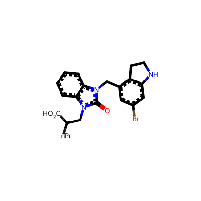 CCCC(Cn1c(=O)n(Cc2cc(Br)cc3c2CCN3)c2ccccc21)C(=O)O